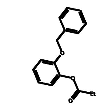 CCC(=O)Oc1ccccc1OCc1ccccc1